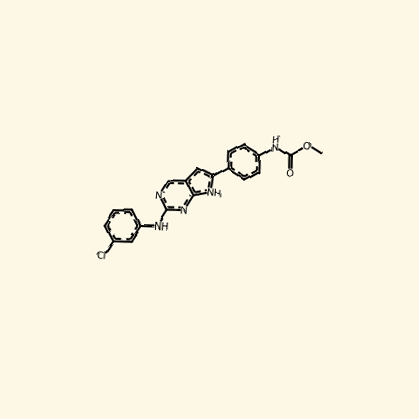 COC(=O)Nc1ccc(-c2cc3cnc(Nc4cccc(Cl)c4)nc3[nH]2)cc1